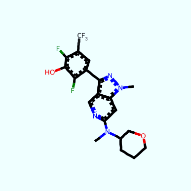 CN(c1cc2c(cn1)c(-c1cc(C(F)(F)F)c(F)c(O)c1F)nn2C)C1CCCOC1